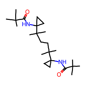 CC(C)(C)C(=O)NC1(C(C)(C)CCC(C)(C)C2(NC(=O)C(C)(C)C)CC2)CC1